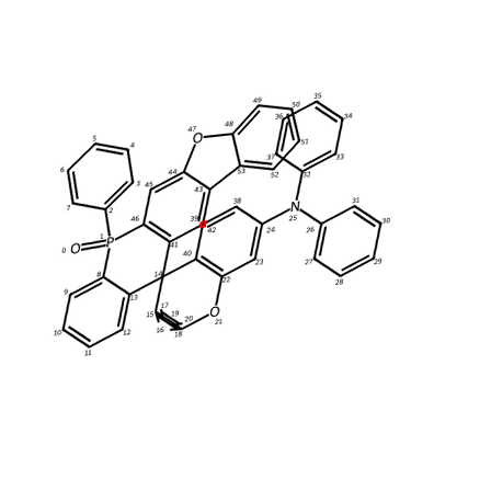 O=P1(c2ccccc2)c2ccccc2C2(c3ccccc3Oc3cc(N(c4ccccc4)c4ccccc4)ccc32)c2cc3c(cc21)oc1ccccc13